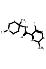 CCN1CCC(C)(NC(=O)C2=NC(C)CC=C2Cl)CC1